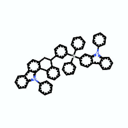 c1ccc(-n2c3ccccc3c3ccc([Si](c4ccccc4)(c4ccccc4)c4cccc(C5Cc6ccc7c8ccccc8n(-c8ccccc8)c7c6-c6ccccc65)c4)cc32)cc1